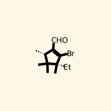 CC[C@@]1(C)C(Br)=C(C=O)[C@@H](C)C1(C)C